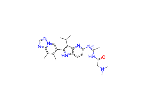 C/C(=N/c1ccc2[nH]c(-c3cn4ncnc4c(C)c3C)c(C(C)C)c2n1)NC(=O)CN(C)C